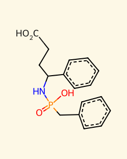 O=C(O)CCC(NP(=O)(O)Cc1ccccc1)c1ccccc1